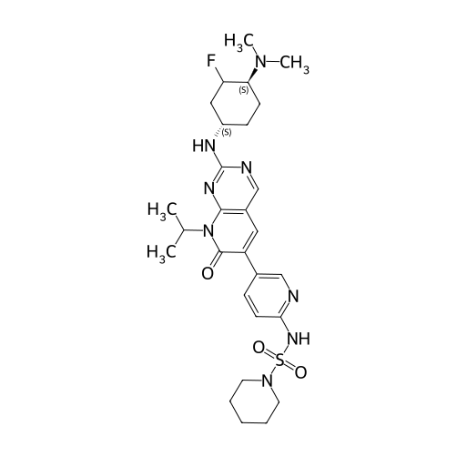 CC(C)n1c(=O)c(-c2ccc(NS(=O)(=O)N3CCCCC3)nc2)cc2cnc(N[C@H]3CC[C@H](N(C)C)C(F)C3)nc21